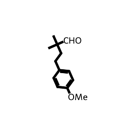 COc1ccc(CCC(C)(C)C=O)cc1